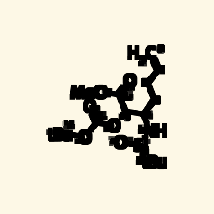 C=CCC[C@@H](N[S@@+]([O-])C(C)(C)C)[C@H](OC(=O)OC(C)(C)C)C(=O)OC